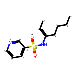 CC=C(CCCC)NS(=O)(=O)c1cccnc1